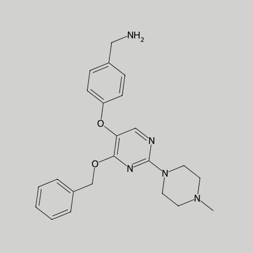 CN1CCN(c2ncc(Oc3ccc(CN)cc3)c(OCc3ccccc3)n2)CC1